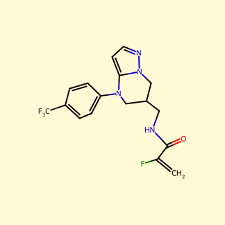 C=C(F)C(=O)NCC1CN(c2ccc(C(F)(F)F)cc2)c2ccnn2C1